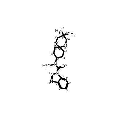 CN(C(=O)n1nnc2ccccc21)C1CCC2(CC1)OCC(C)(C)CO2